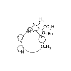 Cc1nc2cc3nn2c(c1[C@H](OC(C)(C)C)C(=O)O)N1CCC(C)(CC1)OCCCCCc1ncccc1-c1cccc-3c1